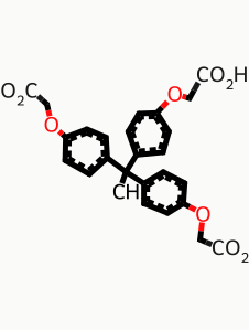 CC(c1ccc(OCC(=O)O)cc1)(c1ccc(OCC(=O)O)cc1)c1ccc(OCC(=O)O)cc1